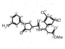 COC(=O)CC(NC(=O)C1CC(=O)N(c2cccc(N)c2)C1)c1cc(Cl)cc(Cl)c1